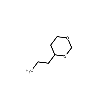 CCCC1CCO[CH]S1